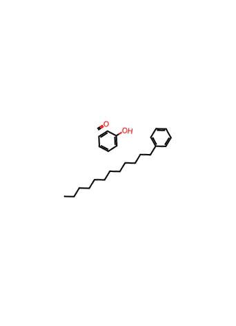 C=O.CCCCCCCCCCCCc1ccccc1.Oc1ccccc1